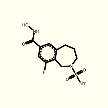 CCCS(=O)(=O)N1CCCc2cc(C(=O)NO)cc(F)c2C1